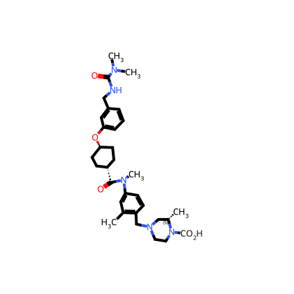 Cc1cc(N(C)C(=O)[C@H]2CC[C@H](Oc3cccc(CNC(=O)N(C)C)c3)CC2)ccc1CN1CCN(C(=O)O)[C@@H](C)C1